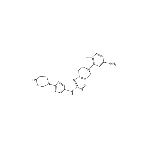 Cc1ccc(N)cc1N1CCc2nc(Nc3ccc(N4CCNCC4)cc3)ncc2C1